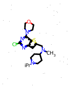 CC(C)N1CCC(N(C)Cc2cc3nc(Cl)nc(N4CCOCC4)c3s2)CC1